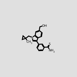 CC1(Cn2cc(-c3cccc(C(N)=S)c3)c3ccc(CO)cc32)CC1